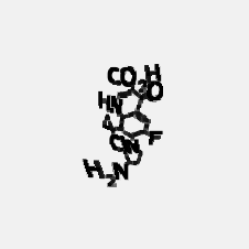 NC1CCN(c2c(F)cc3c(=O)c(C(=O)O)c[nH]c3c2C2(Cl)CC2)C1